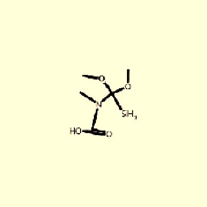 COC([SiH3])(OC)N(C)C(=O)O